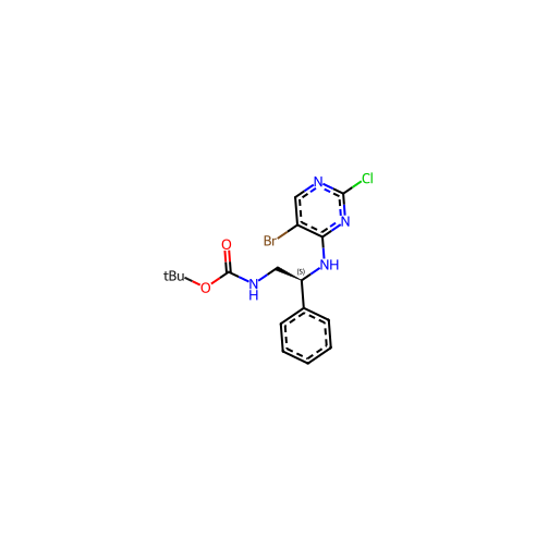 CC(C)(C)OC(=O)NC[C@@H](Nc1nc(Cl)ncc1Br)c1ccccc1